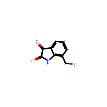 O=C1Nc2c(CBr)cccc2C1=O